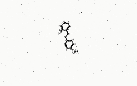 Oc1ccc(CCc2ccccc2F)cc1